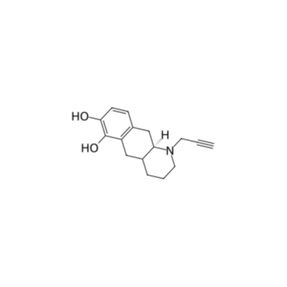 C#CCN1CCCC2Cc3c(ccc(O)c3O)C[C@H]21